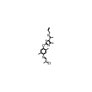 C=CCN=C(C)c1sc(Oc2cc(C)c(N=CN(C)CC)cc2C)nc1C